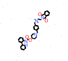 C[N+](C)(CCN1C(=O)c2ccccc2C1=O)Cc1ccc(CN2CCC(OC(=O)Nc3ccccc3-c3ccccc3)CC2)cc1